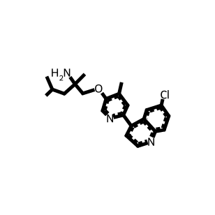 Cc1cc(-c2ccnc3ccc(Cl)cc23)ncc1OCC(C)(N)CC(C)C